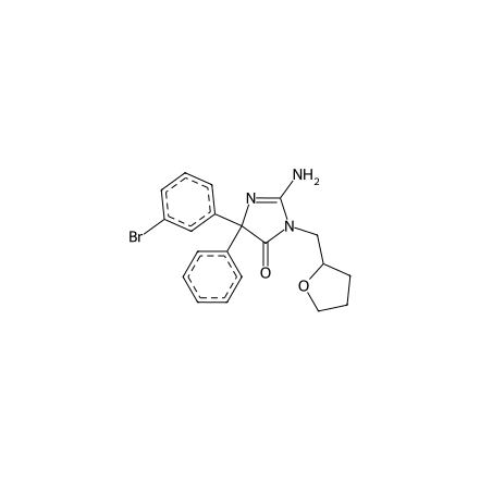 NC1=NC(c2ccccc2)(c2cccc(Br)c2)C(=O)N1CC1CCCO1